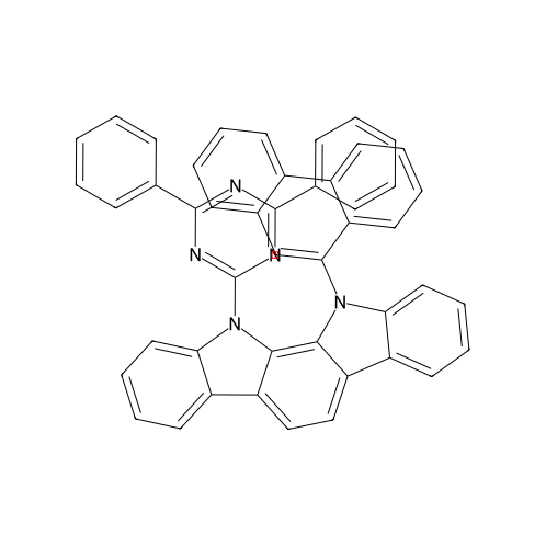 c1ccc(-c2nc(-c3ccccc3)nc(-n3c4ccccc4c4ccc5c6ccccc6n(-c6cc7ccccc7c7ccccc67)c5c43)n2)cc1